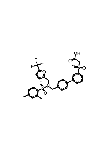 Cc1ccc(S(=O)(=O)N(Cc2ccc(-c3cccc(S(=O)(=O)CC(=O)O)c3)cc2)Cc2ccc(C(F)(F)F)o2)c(C)c1